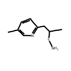 Cc1ccc(CC(C)SN)nc1